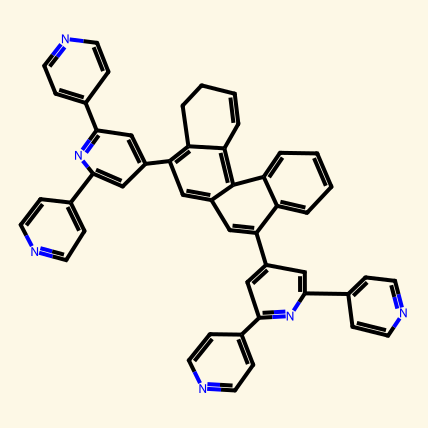 C1=Cc2c(c(-c3cc(-c4ccncc4)nc(-c4ccncc4)c3)cc3cc(-c4cc(-c5ccncc5)nc(-c5ccncc5)c4)c4ccccc4c23)CC1